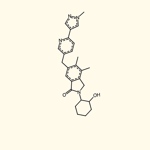 Cc1c(Cc2ccc(-c3cnn(C)c3)nc2)cc2c(c1C)CN(C1CCCCC1O)C2=O